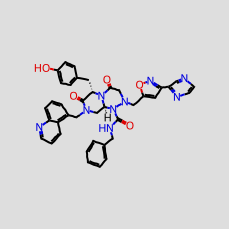 O=C1[C@H](Cc2ccc(O)cc2)N2C(=O)CN(Cc3cc(-c4cnccn4)no3)N(C(=O)NCc3ccccc3)[C@H]2CN1Cc1cccc2ncccc12